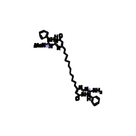 CN/C(=N/c1nc(CCCCCCCCCCCCc2cc(=O)[nH]c(/N=C(/N)Nc3ccccc3)n2)cc(=O)[nH]1)Nc1ccccc1